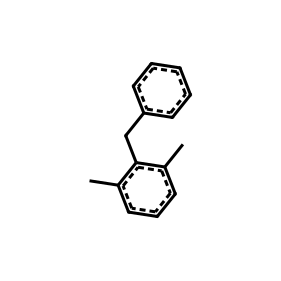 Cc1cccc(C)c1Cc1ccccc1